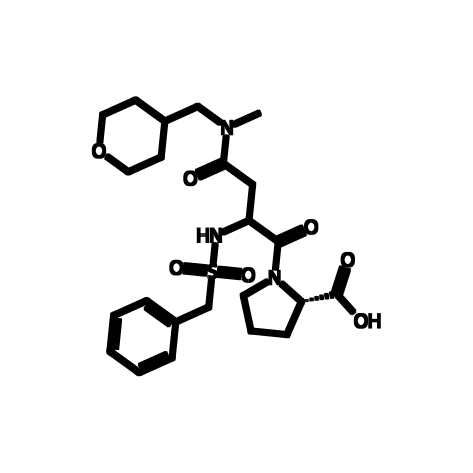 CN(CC1CCOCC1)C(=O)CC(NS(=O)(=O)Cc1ccccc1)C(=O)N1CCC[C@H]1C(=O)O